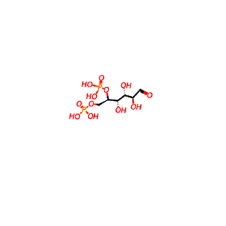 O=C[C@@H](O)[C@@H](O)[C@H](O)[C@@H](COP(=O)(O)O)OP(=O)(O)O